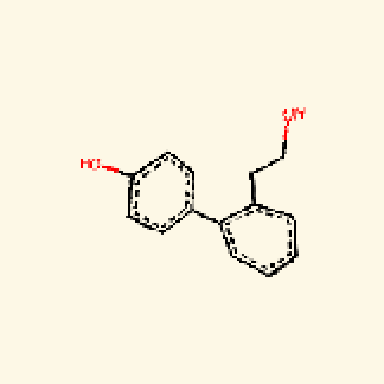 OCCc1ccccc1-c1ccc(O)cc1